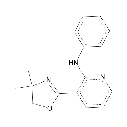 CC1(C)COC(c2cccnc2Nc2ccccc2)=N1